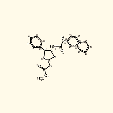 COC(=O)CN1C[C@@H](NC(=O)Nc2cnc3ccccc3c2)[C@H](c2ccccc2)C1